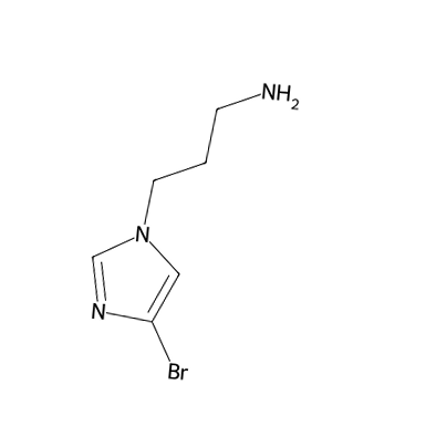 NCCCn1cnc(Br)c1